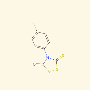 O=c1ssc(=S)n1-c1ccc(F)cc1